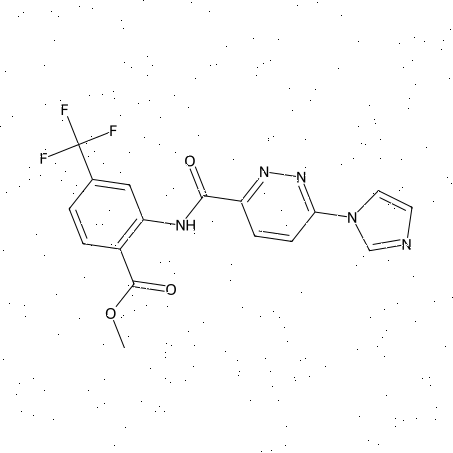 COC(=O)c1ccc(C(F)(F)F)cc1NC(=O)c1ccc(-n2ccnc2)nn1